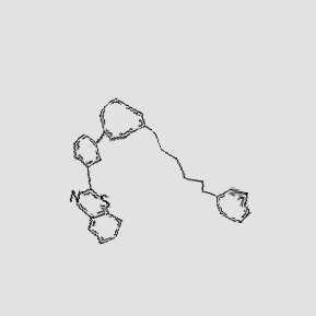 c1ccc(CCCCCCc2cccc(-c3cccc(-c4nc5ccccc5s4)c3)c2)cc1